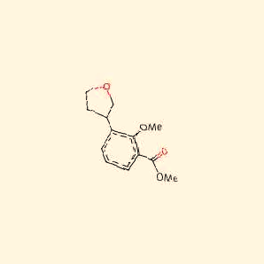 COC(=O)c1cccc(C2CCOC2)c1OC